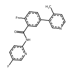 Cc1ccncc1-c1ccc(F)c(C(=O)Nc2ccc(F)cn2)c1